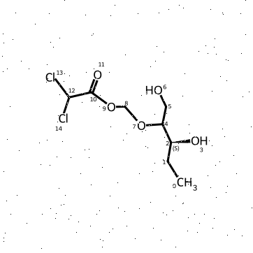 CC[C@H](O)C(CO)OCOC(=O)C(Cl)Cl